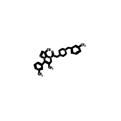 CC1=C(c2cccc(C(F)(F)F)c2)n2ncc(C#N)c2N(C(=O)CN2CCN(Cc3cccc(C(F)(F)F)c3)CC2)C1